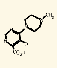 CN1CCN(c2ncnc(C(=O)O)c2Cl)CC1